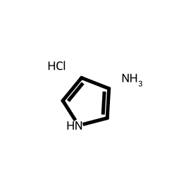 Cl.N.c1cc[nH]c1